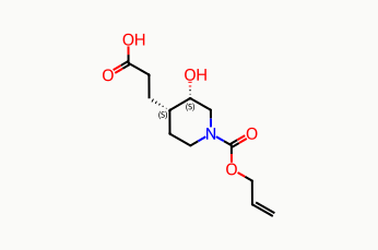 C=CCOC(=O)N1CC[C@H](CCC(=O)O)[C@H](O)C1